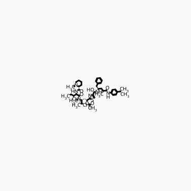 CC[C@H](C)C(NC(=O)[C@H]1CCCCN1C)C(=O)N(C)[C@H](C[C@@H](OC(C)=O)c1nc(C(O)N[C@@H](Cc2ccccc2)C[C@H](C)C(=O)Nc2ccc(C(C)C)cc2)cs1)C(C)C